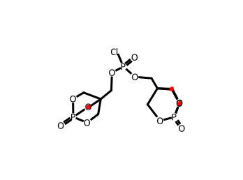 O=P(Cl)(OCC12COP(=O)(OC1)OC2)OCC12COP(=O)(OC1)OC2